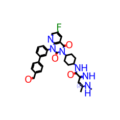 CN/C(C)=C\C(=N)C(=O)NC1CCC(n2c(=O)c3cc(F)cnc3n(-c3cccc(-c4ccc(C=O)cc4)c3)c2=O)CC1